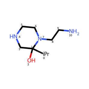 CC(C)C1(O)CNCCN1CCN